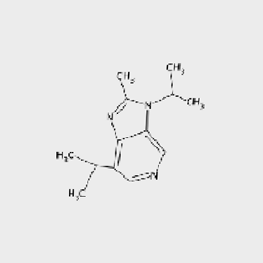 Cc1nc2c(C(C)C)cncc2n1C(C)C